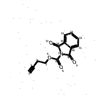 C#CCCOC(=O)N1C(=O)c2ccccc2C1=O